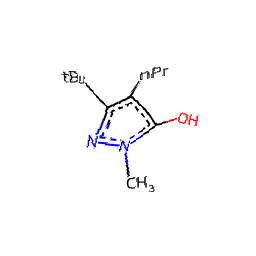 CCCc1c(C(C)(C)C)nn(C)c1O